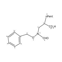 CCCCCC(CN(C=O)OCc1ccccc1)C(=O)O